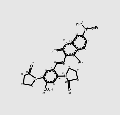 CCCN(CCC)c1ccc2c(CC)c(/C=C/c3cc(N4CCCC4=O)c(C(=O)O)cc3N3CCCC3=O)c(=O)oc2c1